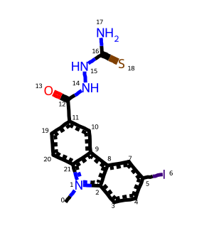 Cn1c2ccc(I)cc2c2cc(C(=O)NNC(N)=S)ccc21